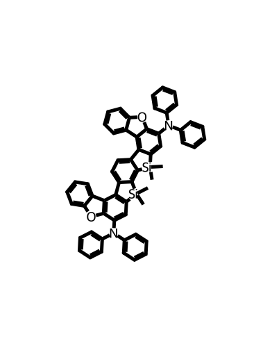 C[Si]1(C)c2cc(N(c3ccccc3)c3ccccc3)c3oc4ccccc4c3c2-c2ccc3c(c21)[Si](C)(C)c1cc(N(c2ccccc2)c2ccccc2)c2oc4ccccc4c2c1-3